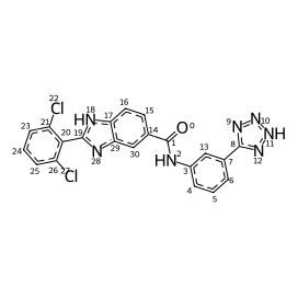 O=C(Nc1cccc(-c2nn[nH]n2)c1)c1ccc2[nH]c(-c3c(Cl)cccc3Cl)nc2c1